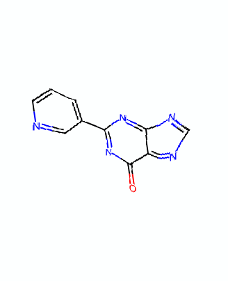 O=C1N=C(c2cccnc2)N=C2N=CN=C12